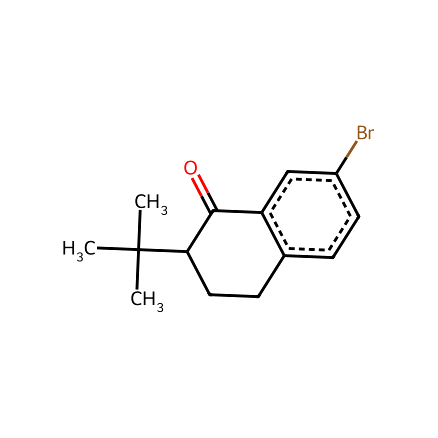 CC(C)(C)C1CCc2ccc(Br)cc2C1=O